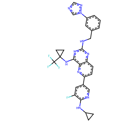 Fc1cc(-c2ccc3nc(NCc4cccc(-n5cncn5)c4)nc(NC4(C(F)(F)F)CC4)c3n2)cnc1NC1CC1